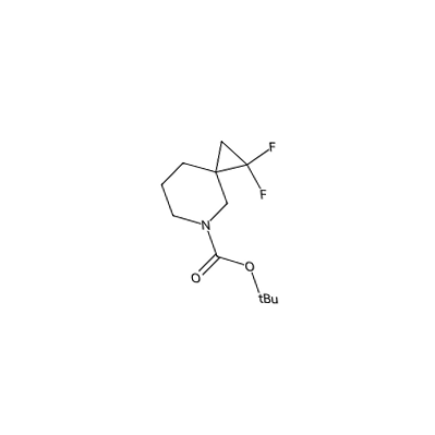 CC(C)(C)OC(=O)N1CCCC2(C1)CC2(F)F